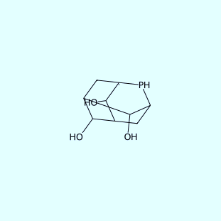 OC1[C]2CC3C(O)C(CC1C3O)P2